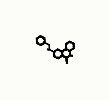 O=c1[nH]c2ncccc2c2cc(NCc3cccnc3)ccc12